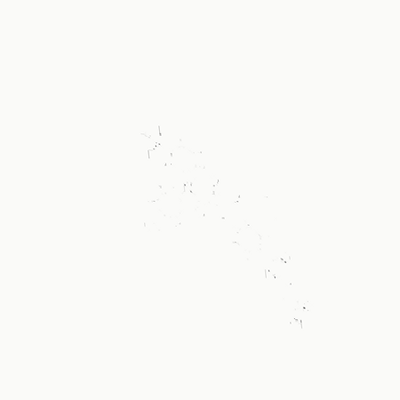 CC(C)CC[C@@H](Cc1ccc(C(=O)NCCC(=O)O)cc1)C(=O)c1cc2cc(Cl)ccc2n1-c1cccc(C(F)(F)F)c1